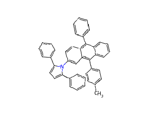 Cc1ccc(-c2c3ccccc3c(-c3ccccc3)c3ccc(-n4c(-c5ccccc5)ccc4-c4ccccc4)cc23)cc1